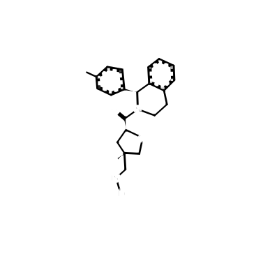 CCNC[C@@]1(O)CO[C@H](C(=O)N2CCc3ccccc3[C@@H]2c2ccc(F)cc2)C1